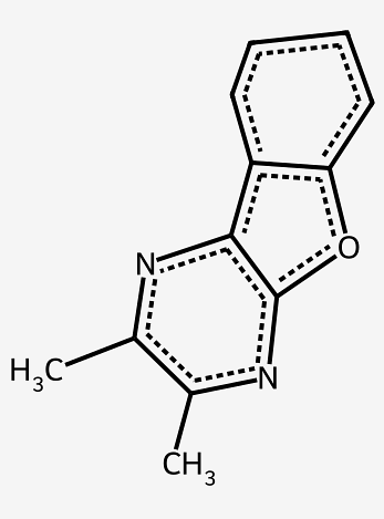 Cc1nc2oc3ccccc3c2nc1C